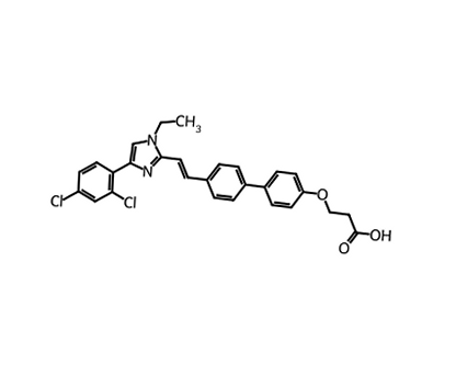 CCn1cc(-c2ccc(Cl)cc2Cl)nc1C=Cc1ccc(-c2ccc(OCCC(=O)O)cc2)cc1